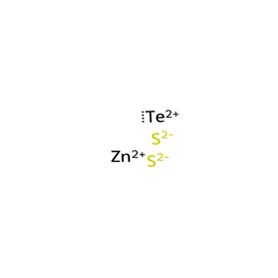 [S-2].[S-2].[Te+2].[Zn+2]